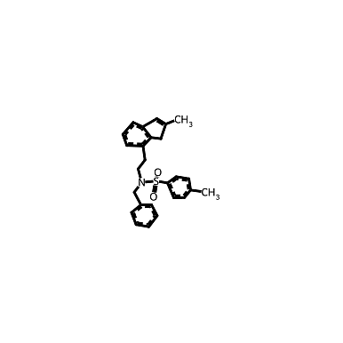 CC1=Cc2cccc(CCN(Cc3ccccc3)S(=O)(=O)c3ccc(C)cc3)c2C1